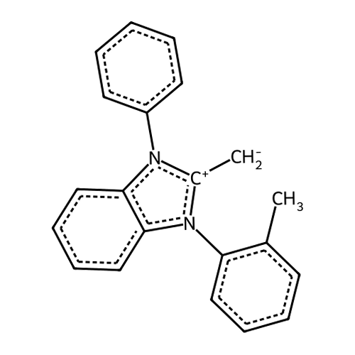 [CH2-][c+]1n(-c2ccccc2)c2ccccc2n1-c1ccccc1C